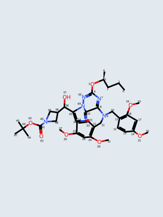 CCC[C@H](C)Oc1nc(N(Cc2ccc(OC)cc2OC)Cc2ccc(OC)cc2OC)c2ncc(C(O)C3CN(C(=O)OC(C)(C)C)C3)n2n1